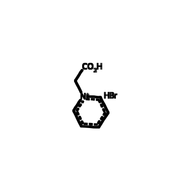 Br.O=C(O)C[n+]1ccccc1